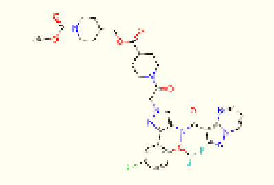 CC(C)(C)OC(=O)N1CCC(COC(=O)C2CCN(C(=O)Cn3cc(NC(=O)c4cnn5cccnc45)c(-c4cc(Cl)ccc4OC(F)F)n3)CC2)CC1